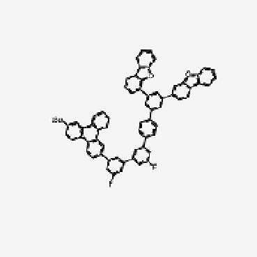 CC(C)(C)c1ccc2c3ccc(-c4cc(F)cc(-c5cc(F)cc(-c6ccc(-c7cc(-c8ccc9c(c8)oc8ccccc89)cc(-c8cccc9c8oc8ccccc89)c7)cc6)c5)c4)cc3c3ccccc3c2c1